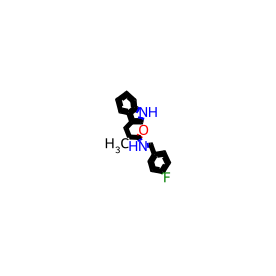 CC(Cc1c[nH]c2ccccc12)C(=O)NCc1ccc(F)cc1